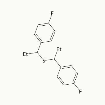 CCC(SC(CC)c1ccc(F)cc1)c1ccc(F)cc1